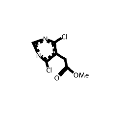 COC(=O)Cc1c(Cl)ncnc1Cl